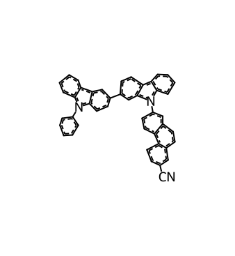 N#Cc1ccc2c(ccc3cc(-n4c5ccccc5c5ccc(-c6ccc7c(c6)c6ccccc6n7-c6ccccc6)cc54)ccc32)c1